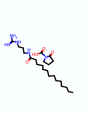 CCCCCCCCCCCCCC(=O)NCCCNC(=N)N.O=C(O)N1CCCC1=O